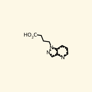 O=C(O)CCCn1ncc2ncccc21